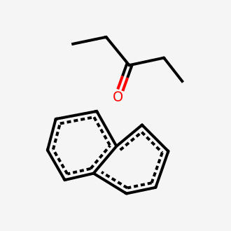 CCC(=O)CC.c1ccc2ccccc2c1